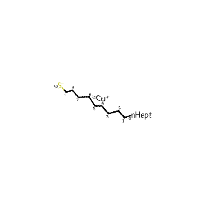 CCCCCCCCCCCCCCCC[S-].[Cu+]